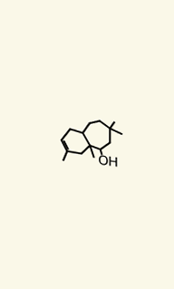 CC1=CCC2CCC(C)(C)CC(O)C2(C)C1